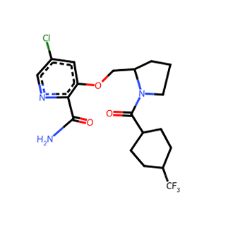 NC(=O)c1ncc(Cl)cc1OCC1CCCN1C(=O)C1CCC(C(F)(F)F)CC1